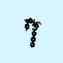 CO[C@@]1(C(=O)Nc2ccc3[nH]nc(-c4ccc(F)nc4)c3c2)CCN(CC(=O)N2CCC(c3ccc(-c4ncccn4)cc3)CC2)C1